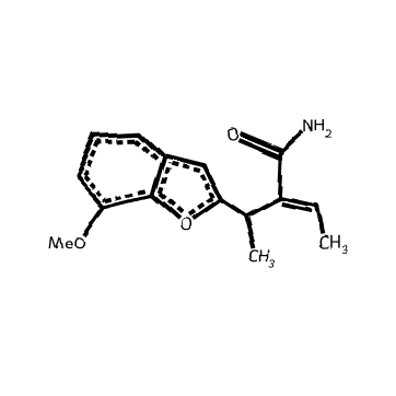 C/C=C(/C(N)=O)C(C)c1cc2cccc(OC)c2o1